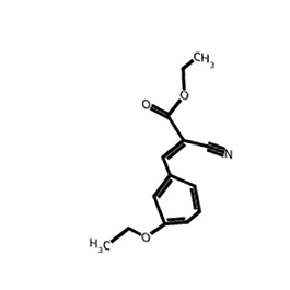 CCOC(=O)/C(C#N)=C/c1cccc(OCC)c1